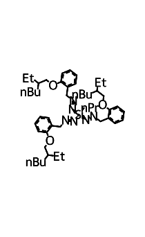 CCCCC(CC)COc1ccccc1CN=N[Si](CCC)(N=NCc1ccccc1OCC(CC)CCCC)N=NCc1ccccc1OCC(CC)CCCC